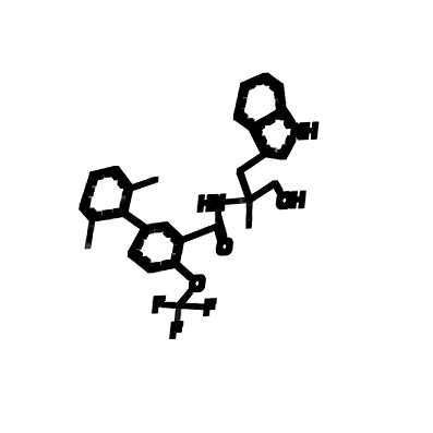 Cc1cccc(C)c1-c1ccc(OC(F)(F)F)c(C(=O)NC(C)(CO)Cc2c[nH]c3ccccc23)c1